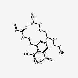 C=CC(=O)OCCc1cccc(C(=O)O)c1C(=O)O.OCCOCCOCCO